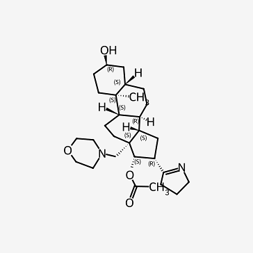 CC(=O)O[C@H]1[C@@H](C2=NCCC2)C[C@H]2[C@@H]3CC[C@H]4C[C@H](O)CC[C@]4(C)[C@H]3CC[C@@]21CN1CCOCC1